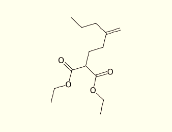 C=C(CCC)CCC(C(=O)OCC)C(=O)OCC